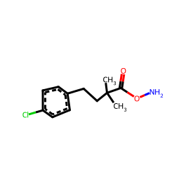 CC(C)(CCc1ccc(Cl)cc1)C(=O)ON